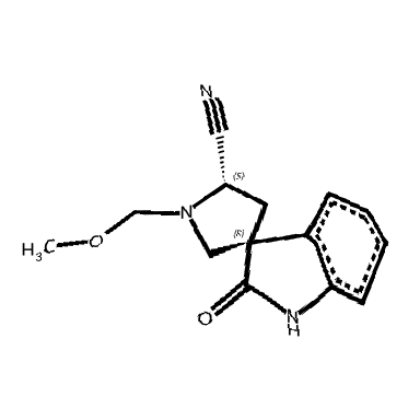 COCN1C[C@]2(C[C@H]1C#N)C(=O)Nc1ccccc12